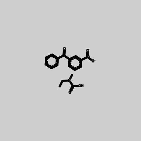 CCN(C)C(=O)O.O=C(c1ccccc1)c1cccc([N+](=O)[O-])c1